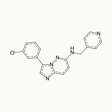 Clc1cccc(-c2cnc3ccc(NCc4ccncc4)nn23)c1